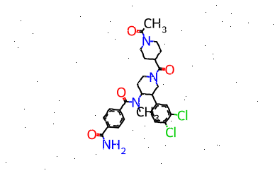 CC(=O)N1CCC(C(=O)N2CCC(N(C)C(=O)c3ccc(C(N)=O)cc3)C(c3ccc(Cl)c(Cl)c3)C2)CC1